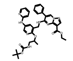 CCOC(=O)c1cnn2cc(-c3ccccc3)c(NCc3cc(Nc4ccccn4)cnc3OC(C)CNC(=O)OC(C)(C)C)nc12